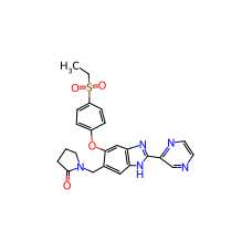 CCS(=O)(=O)c1ccc(Oc2cc3nc(-c4cnccn4)[nH]c3cc2CN2CCCC2=O)cc1